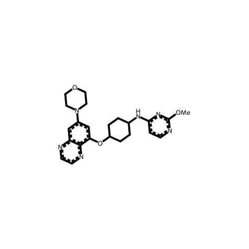 COc1nccc(NC2CCC(Oc3cc(N4CCOCC4)cc4nccnc34)CC2)n1